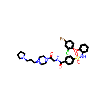 O=C(NCC(=O)N1CCN(CCCN2CCCC2)CC1)c1ccc(S(=O)(=O)Nc2ccccc2Oc2ccc(Br)cc2Cl)cc1